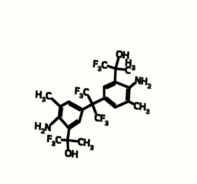 Cc1cc(C(c2cc(C)c(N)c(C(C)(O)C(F)(F)F)c2)(C(F)(F)F)C(F)(F)F)cc(C(C)(O)C(F)(F)F)c1N